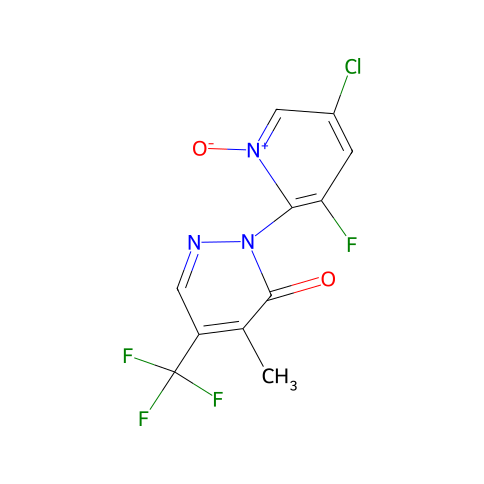 Cc1c(C(F)(F)F)cnn(-c2c(F)cc(Cl)c[n+]2[O-])c1=O